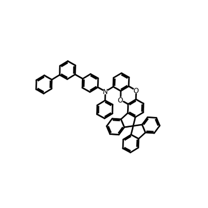 c1ccc(-c2cccc(-c3ccc(N(c4ccccc4)c4cccc5c4Oc4c(ccc6c4-c4ccccc4C64c6ccccc6-c6ccccc64)O5)cc3)c2)cc1